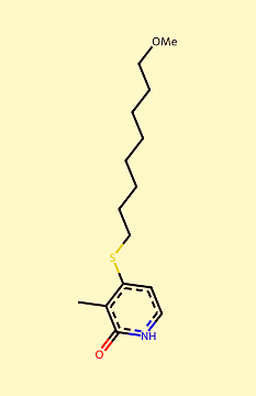 COCCCCCCCCSc1cc[nH]c(=O)c1C